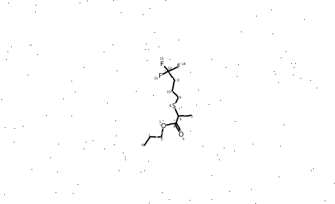 CCCOC(=O)C(C)SCCCC(F)(F)F